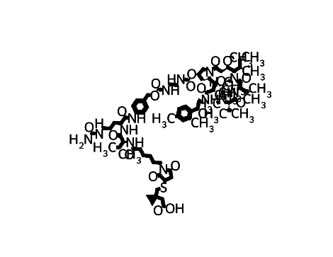 CC[C@H](C)C([C@@H](CC(=O)N1C[C@@H](OC(=O)NCCNC(=O)OCc2ccc(NC(=O)C(CCCNC(N)=O)NC(=O)[C@@H](NC(=O)CCCCCN3C(=O)CC(SCC4(CC(=O)O)CC4)C3=O)C(C)C)cc2)C[C@H]1[C@H](OC)[C@@H](C)C(=O)NCC(=O)c1ccc(C)cc1C)OC)N(C)C(=O)[C@@H](NC(=O)[C@H](C(C)C)N(C)C)C(C)C